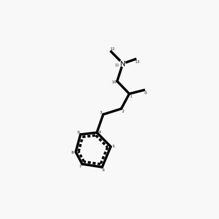 CC(CCc1ccccc1)CN(C)C